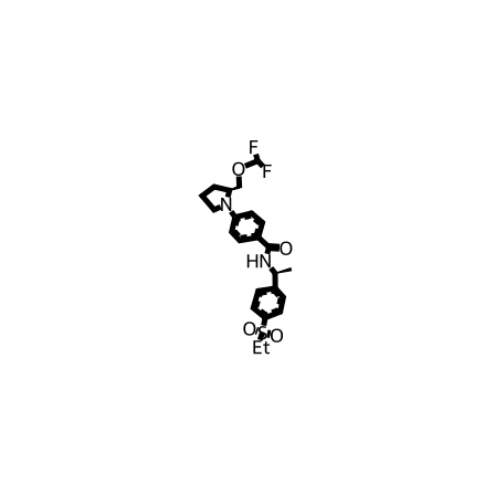 CCS(=O)(=O)c1ccc([C@H](C)NC(=O)c2ccc(N3CCC[C@H]3COC(F)F)cc2)cc1